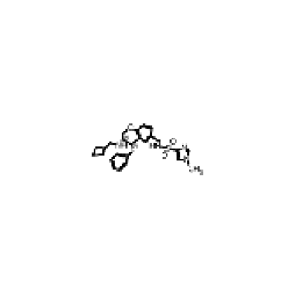 Cn1cnc(S(=O)(=O)NCc2ccc3c(c2)[C@@H](Cc2ccccc2)[C@@H](NCC2CCC2)CO3)c1